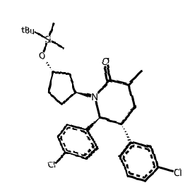 CC1C[C@H](c2cccc(Cl)c2)[C@@H](c2ccc(Cl)cc2)N([C@H]2CC[C@H](O[Si](C)(C)C(C)(C)C)C2)C1=O